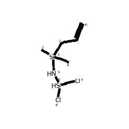 C=CC[Si](C)(C)N[SiH](Cl)Cl